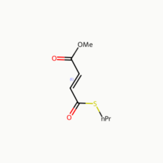 CCCSC(=O)/C=C/C(=O)OC